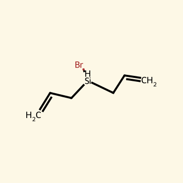 C=CC[SiH](Br)CC=C